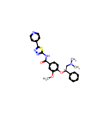 COc1cc(C(=O)Nc2nnc(-c3ccncc3)s2)ccc1O[C@@H](CN(C)C)c1ccccc1